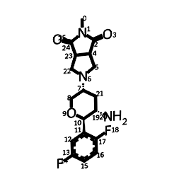 CN1C(=O)C2CN([C@H]3CO[C@H](c4cc(F)ccc4F)[C@@H](N)C3)CC2C1=O